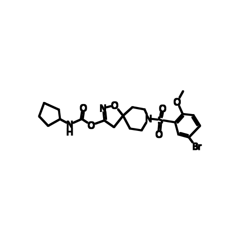 COc1ccc(Br)cc1S(=O)(=O)N1CCC2(CC1)CC(OC(=O)NC1CCCC1)=NO2